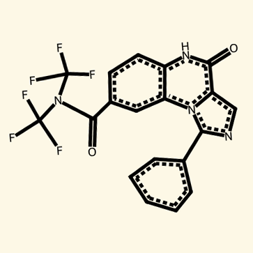 O=C(c1ccc2[nH]c(=O)c3cnc(-c4ccccc4)n3c2c1)N(C(F)(F)F)C(F)(F)F